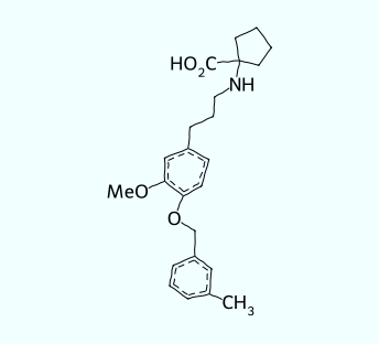 COc1cc(CCCNC2(C(=O)O)CCCC2)ccc1OCc1cccc(C)c1